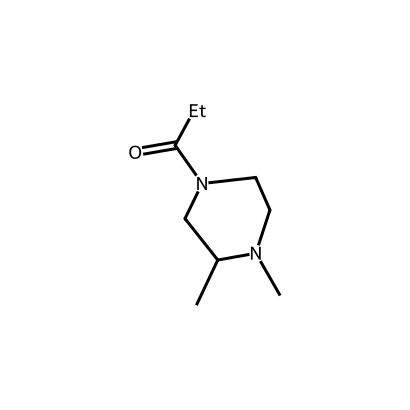 CCC(=O)N1CCN(C)C(C)C1